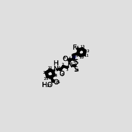 O=C(CCN1C(=O)/C(=C/c2ccccc2F)SC1=S)Nc1cccc(C(=O)O)c1